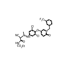 CCOC(=O)NC(=O)C(C#N)N(C)Nc1cc(Cl)c(Oc2ccc(=O)n(Cc3cccc(C(F)(F)F)c3)c2)c(Cl)c1